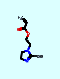 C=CC(=O)OCCN1CCN=C1C=O